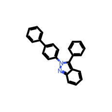 c1ccc(-c2ccc(-n3nc4ccccc4c3-c3ccccc3)cc2)cc1